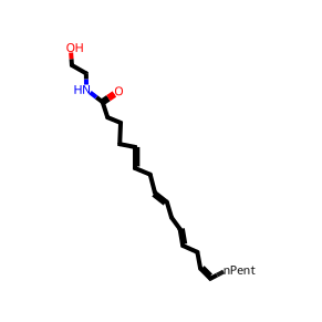 CCCCC/C=C\C/C=C/C/C=C/C/C=C/CCCC(=O)NCCO